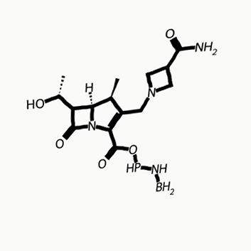 BNPOC(=O)C1=C(CN2CC(C(N)=O)C2)[C@H](C)[C@@H]2C([C@@H](C)O)C(=O)N12